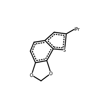 CC(C)c1cc2ccc3c(c2s1)OCO3